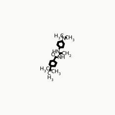 C=C(NC(=O)c1ccc(C(C)(C)C)cc1)Nc1ccc(N(C)C)cc1